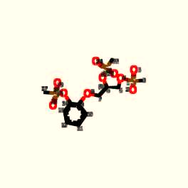 CS(=O)(=O)OC[C@@H](COc1ccccc1OS(C)(=O)=O)OS(C)(=O)=O